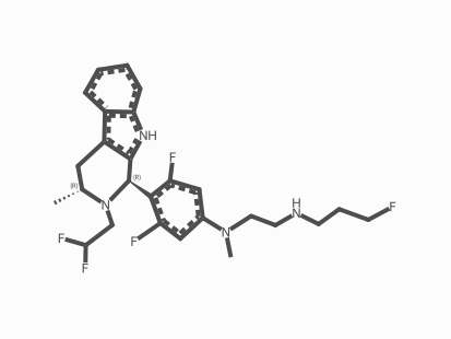 C[C@@H]1Cc2c([nH]c3ccccc23)[C@@H](c2c(F)cc(N(C)CCNCCCF)cc2F)N1CC(F)F